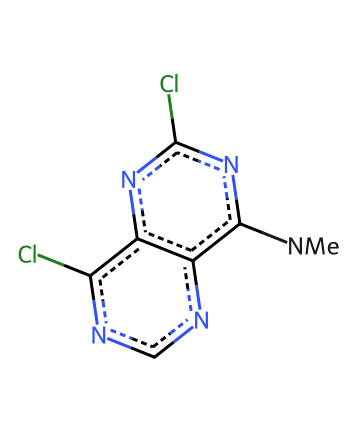 CNc1nc(Cl)nc2c(Cl)ncnc12